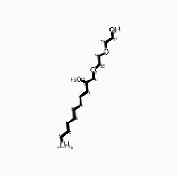 CCCCCCCCCC(O)COCCOCCO